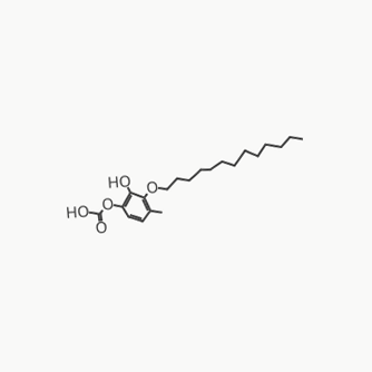 CCCCCCCCCCCCCOc1c(C)ccc(OC(=O)O)c1O